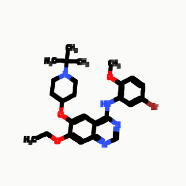 CCOc1cc2ncnc(Nc3cc(Br)ccc3OC)c2cc1OC1CCN(C(C)(C)C)CC1